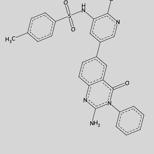 COc1ncc(-c2ccc3nc(N)n(-c4ccccc4)c(=O)c3c2)cc1NS(=O)(=O)c1ccc(C)cc1